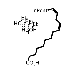 CCCCC/C=C\C/C=C\CCCCCCCC(=O)O.CCO.CCO.CCO.CCO